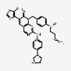 COCC[S+]([O-])c1ccc(Cn2c(=O)c(-c3ncsc3C)cc3cnc(Nc4ccc(C5CCNC5)cc4)nc32)cc1